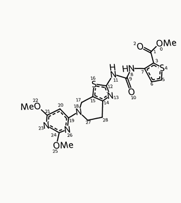 COC(=O)c1sccc1NC(=O)Nc1nc2c(s1)CN(c1cc(OC)nc(OC)n1)CC2